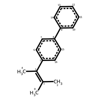 CC(C)=C(C)c1ccc(-c2ccccc2)cc1